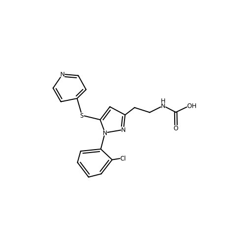 O=C(O)NCCc1cc(Sc2ccncc2)n(-c2ccccc2Cl)n1